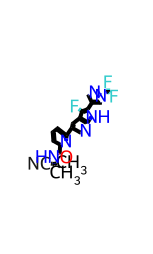 CC(C)(C#N)NC(=O)c1cccc(-c2cnc3[nH]c(-c4cnn(C(F)F)c4)c(F)c3c2)n1